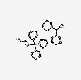 CCC(C)C=C[SiH2]C(c1ccccc1)(c1ccccc1)n1ccnc1.c1ccc(B(c2ccccc2)C2CC2)cc1